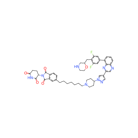 O=C1CCC(N2C(=O)c3ccc(CCCCCCCN4CCC(n5cc(-c6cnc7cccc(-c8cc(F)c(CC9CNCCO9)c(F)c8)c7n6)cn5)CC4)cc3C2=O)C(=O)N1